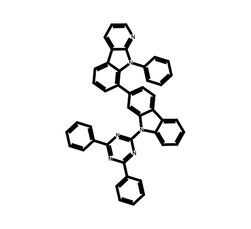 c1ccc(-c2nc(-c3ccccc3)nc(-n3c4ccccc4c4ccc(-c5cccc6c7cccnc7n(-c7ccccc7)c56)cc43)n2)cc1